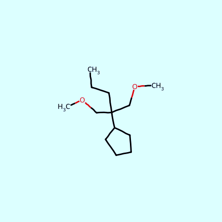 CCCC(COC)(COC)C1CCCC1